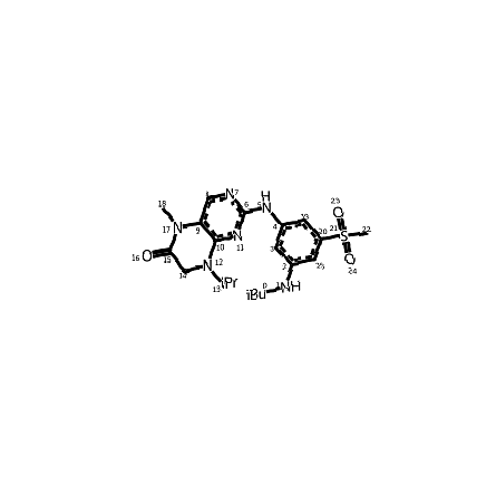 CCC(C)Nc1cc(Nc2ncc3c(n2)N(C(C)C)CC(=O)N3C)cc(S(C)(=O)=O)c1